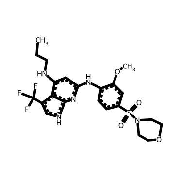 CCCNc1cc(Nc2ccc(S(=O)(=O)N3CCOCC3)cc2OC)nc2[nH]cc(C(F)(F)F)c12